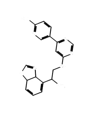 Cc1ccc(-c2cc(NCC(C)C3=CC=CC4OC=NC34)ncn2)cn1